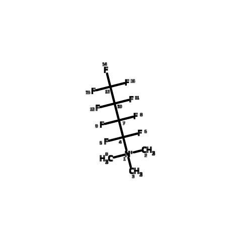 C[N+](C)(C)C(F)(F)C(F)(F)C(F)(F)C(F)(F)F